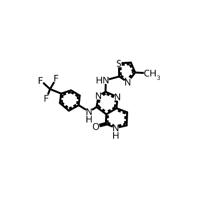 Cc1csc(Nc2nc(Nc3ccc(C(F)(F)F)cc3)c3c(=O)[nH]ccc3n2)n1